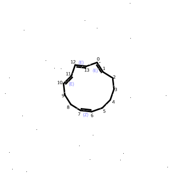 [C]1=C/CCCC/C=C\CC/C=C/C=C/1